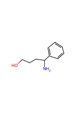 N[C](CCCO)c1ccccc1